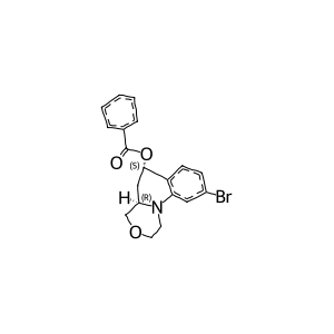 O=C(O[C@H]1C[C@@H]2COCCN2c2cc(Br)ccc21)c1ccccc1